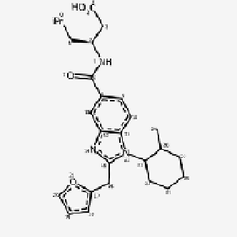 CC(C)C[C@@H](CC(=O)O)NC(=O)c1ccc2c(c1)nc(Cc1ccco1)n2C1CCCCC1C